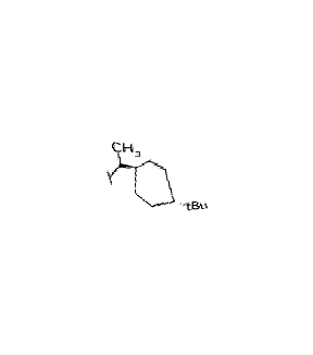 CC(I)[C@H]1CC[C@H](C(C)(C)C)CC1